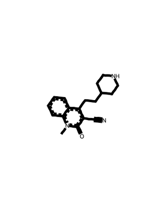 Cn1c(=O)c(C#N)c(CCC2CCNCC2)c2ccccc21